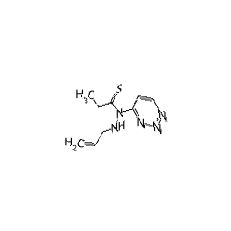 C=CCNN(C(=S)CC)c1ccnnn1